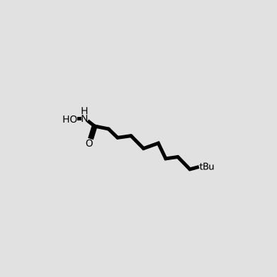 CC(C)(C)CCCCCCCCC(=O)NO